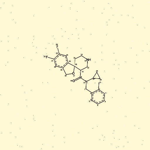 Cc1cccnc1CN(C(=O)C1CNCC[C@@]12OCc1cc(F)c(F)cc12)C1CC1